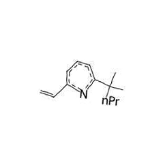 C=Cc1cccc(C(C)(C)CCC)n1